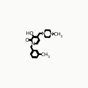 Cc1cccc(Cn2ccc(CN3CCN(C)CC3)c(O)c2=O)c1